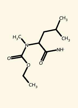 CCOC(=O)N(C)C(CC(C)C)C([NH])=O